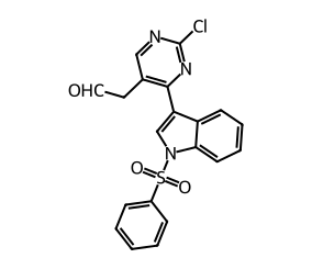 O=CCc1cnc(Cl)nc1-c1cn(S(=O)(=O)c2ccccc2)c2ccccc12